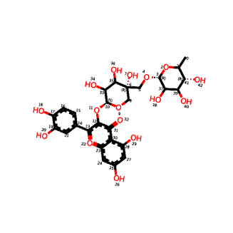 CC1O[C@@H](OC[C@@]2(O)CO[C@@H](Oc3c(-c4ccc(O)c(O)c4)oc4cc(O)cc(O)c4c3=O)C(O)C2O)C(O)C(O)[C@H]1O